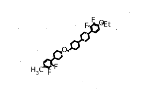 CCOc1ccc(C2CCC(C3CCC(COC4CCC(c5ccc(C)c(F)c5F)CC4)CC3)CC2)c(F)c1F